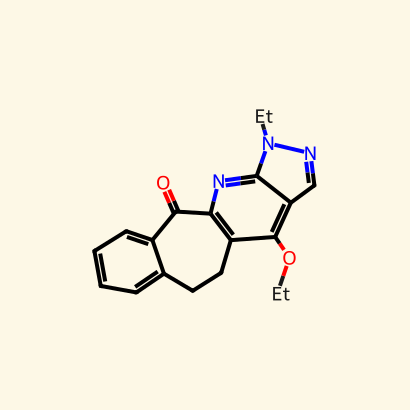 CCOc1c2c(nc3c1cnn3CC)C(=O)c1ccccc1CC2